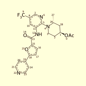 CC(=O)O[C@H]1CCN(c2ncc(C(F)(F)F)cc2NC(=O)c2ccc(-c3ccncc3)o2)[C@H](C)C1